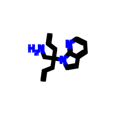 C=CCC(CN)(CC=C)n1ccc2cccnc21